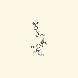 CSc1c2sc(C3=C(C(=O)O)N4C(=O)[C@H]([C@@H](C)O)[C@H]4[C@H]3C)c[n+]2cn1Cc1cn(C(=O)OCc2ccc([N+](=O)[O-])cc2)cn1.[I-]